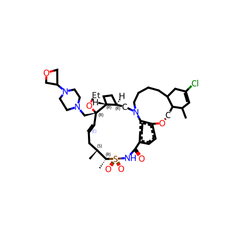 CCO[C@@]1(CN2CCN(C3COC3)CC2)/C=C/C[C@H](C)[C@@H](C)S(=O)(=O)NC(=O)c2ccc3c(c2)N(CCCCC2CC(Cl)=CC(C)C2CO3)C[C@@H]2CC[C@H]21